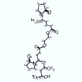 CCC(O)CC(C)OC(CCC(=O)OCCOC(=O)CCCC(C)N1CCCC1=O)N1CCCC1=O